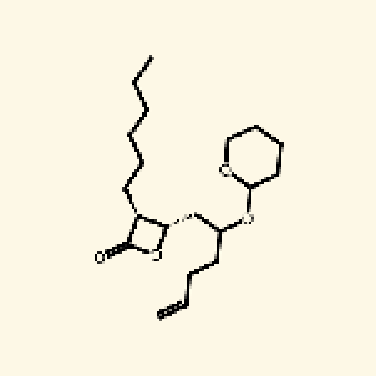 C=CCCC(C[C@@H]1OC(=O)[C@H]1CCCCCC)OC1CCCCO1